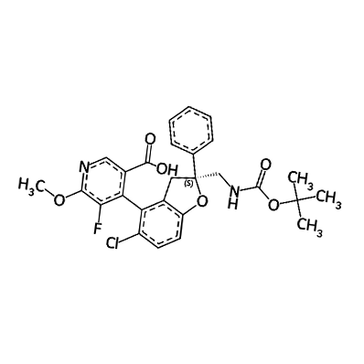 COc1ncc(C(=O)O)c(-c2c(Cl)ccc3c2C[C@@](CNC(=O)OC(C)(C)C)(c2ccccc2)O3)c1F